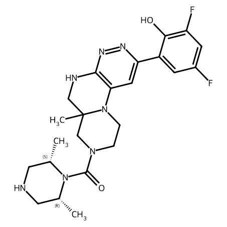 C[C@@H]1CNC[C@H](C)N1C(=O)N1CCN2c3cc(-c4cc(F)cc(F)c4O)nnc3NCC2(C)C1